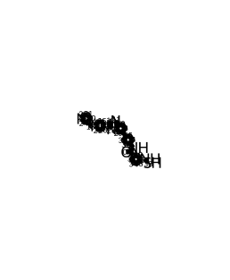 O=C(Nc1ccc(-c2ccc3ncc(N4CCN(Cc5cccnc5)CC4)nc3c2)cc1)c1cccc(NS)c1